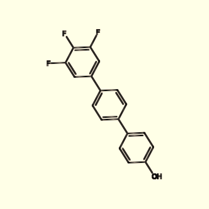 Oc1ccc(-c2ccc(-c3cc(F)c(F)c(F)c3)cc2)cc1